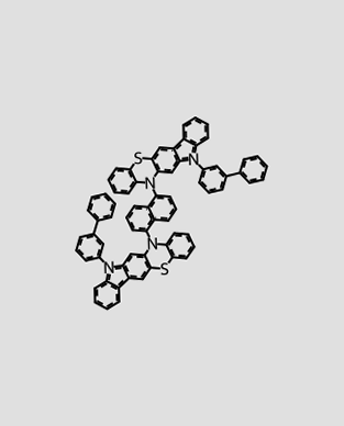 c1ccc(-c2cccc(-n3c4ccccc4c4cc5c(cc43)N(c3cccc4c(N6c7ccccc7Sc7cc8c9ccccc9n(-c9cccc(-c%10ccccc%10)c9)c8cc76)cccc34)c3ccccc3S5)c2)cc1